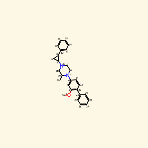 COc1cc(N2CCN(C3CC3c3ccccc3)CC2C)ccc1-c1ccccc1